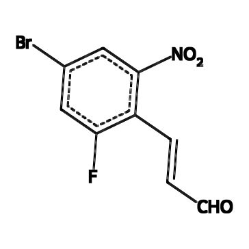 O=C/C=C/c1c(F)cc(Br)cc1[N+](=O)[O-]